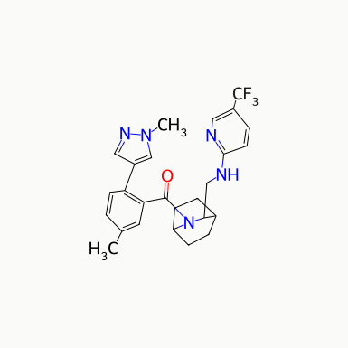 Cc1ccc(-c2cnn(C)c2)c(C(=O)N2C3CCC(CC3)C2CNc2ccc(C(F)(F)F)cn2)c1